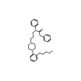 COCCCc1ccccc1N1CCN(CCCN(C(=O)Cc2ccccc2)c2ccccc2)CC1